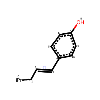 CC(C)C/C=C/c1ccc(O)cc1